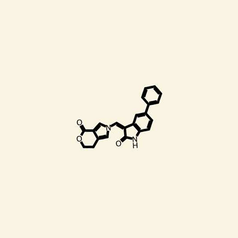 O=C1Nc2ccc(-c3ccccc3)cc2C1=Cn1cc2c(c1)C(=O)OCC2